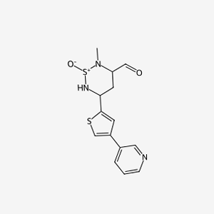 CN1C(C=O)CC(c2cc(-c3cccnc3)cs2)N[S+]1[O-]